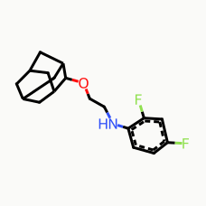 Fc1ccc(NCCOC2C3CC4CC(C3)CC2C4)c(F)c1